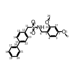 COc1ccc(CNS(=O)(=O)Cc2ccc(-c3ccccc3)cc2)c(OC)c1